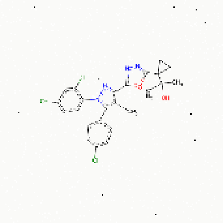 Cc1c(-c2nnc(C3(C(C)(C)O)CC3)o2)nn(-c2ccc(Cl)cc2Cl)c1-c1ccc(Cl)cc1